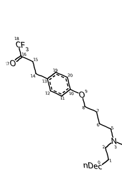 CCCCCCCCCCCCN(C)CCCCOc1ccc(CCC(=O)C(F)(F)F)cc1